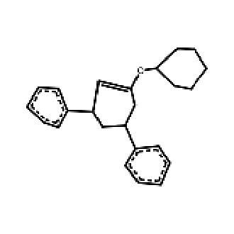 C1=C(OC2CCCCC2)CC(c2ccccc2)CC1c1ccccc1